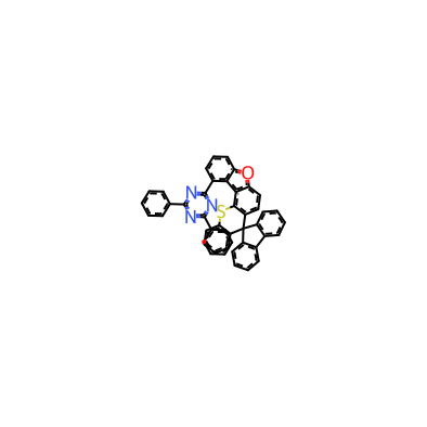 c1ccc(-c2nc(-c3ccccc3)nc(-c3cccc4oc5ccc6c(c5c34)Sc3ccccc3C63c4ccccc4-c4ccccc43)n2)cc1